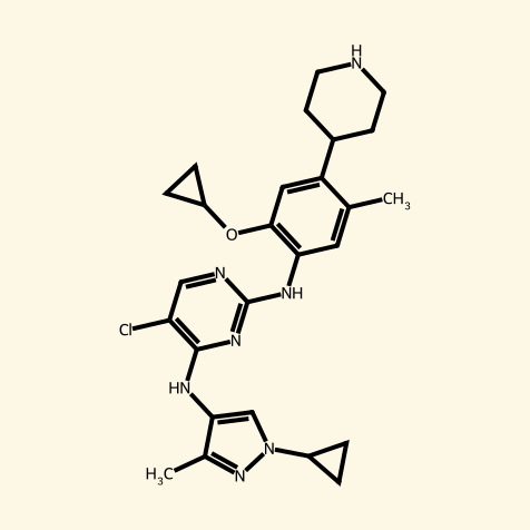 Cc1cc(Nc2ncc(Cl)c(Nc3cn(C4CC4)nc3C)n2)c(OC2CC2)cc1C1CCNCC1